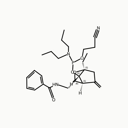 C=C1C[C@]2(CC)O[C@@H](CNC(=O)c3ccccc3)[C@H]1[C@@H]2OP(OCCC#N)N(CCC)CCC